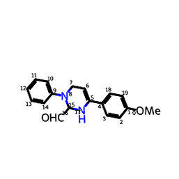 COc1ccc(C2=CCN(c3ccccc3)C(C=O)N2)cc1